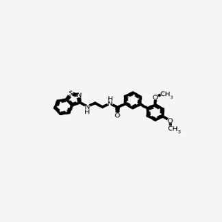 COc1ccc(-c2cccc(C(=O)NCCNc3nsc4ccccc34)c2)c(OC)c1